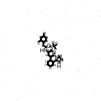 Cc1ccc(CC(=O)Nc2cc(-c3ccccc3-c3nnn[nH]3)cnc2SC(C)(C)C)c(C)c1